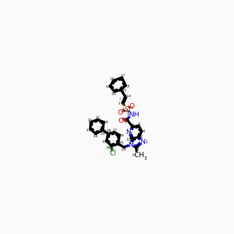 Cc1nc2ccc(C(=O)NS(=O)(=O)/C=C/c3ccccc3)nc2n1Cc1ccc(-c2ccccc2)cc1Cl